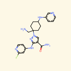 NCC1(n2cc(C(N)=O)c(Nc3ccnc(F)c3)n2)CCC(Nc2cccnc2)CC1